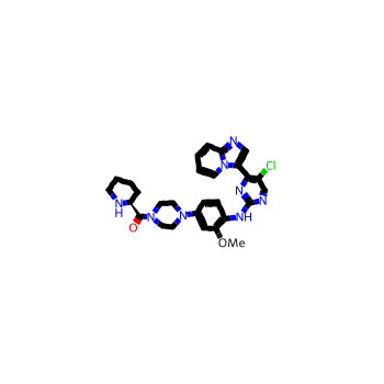 COc1cc(N2CCN(C(=O)[C@@H]3CCCCN3)CC2)ccc1Nc1ncc(Cl)c(-c2cnc3ccccn23)n1